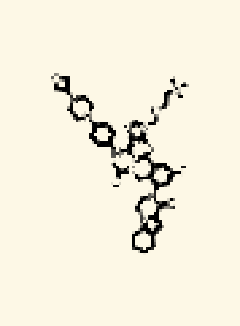 CC(=O)OCc1c(-c2nc(Nc3ccc(N4CCN(C5COC5)CC4)cc3)c3ncn(COCC[Si](C)(C)C)c3n2)cc(F)cc1N1CCn2c(cc3c2CCCC3)C1=O